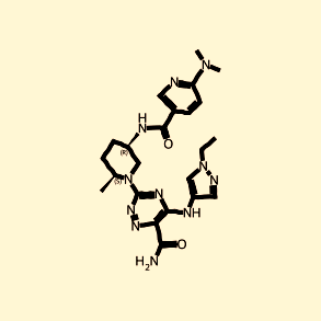 CCn1cc(Nc2nc(N3C[C@H](NC(=O)c4ccc(N(C)C)nc4)CC[C@@H]3C)nnc2C(N)=O)cn1